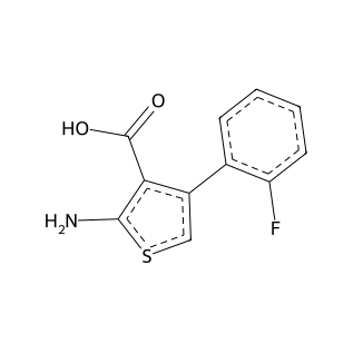 Nc1scc(-c2ccccc2F)c1C(=O)O